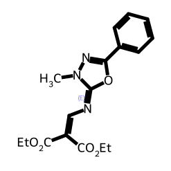 CCOC(=O)C(=C/N=c1/oc(-c2ccccc2)nn1C)C(=O)OCC